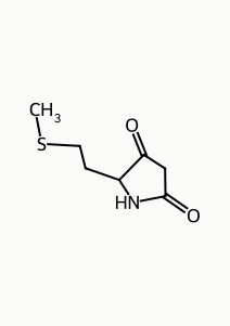 CSCCC1NC(=O)CC1=O